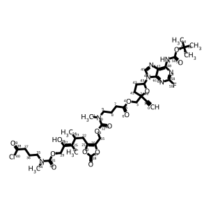 C#CC1(COC(=O)CCCN(C)C(=O)OCc2oc(=O)oc2CC(C)/C(C)=C(\O)COC(=O)N(C)CCCC(=O)Cl)CCC(n2cnc3c(NC(=O)OC(C)(C)C)nc(F)nc32)O1